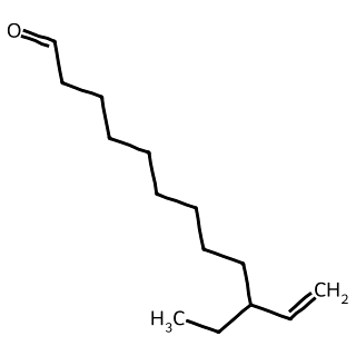 C=CC(CC)CCCCCCCCC=O